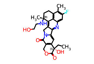 CC[C@@]1(O)C(=O)OCc2c1cc1n(c2=O)Cc2c-1nc1cc(F)c(C)c3c1c2[C@](C)(NCCO)CC3